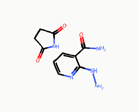 NNc1ncccc1C(N)=O.O=C1CCC(=O)N1